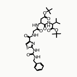 CC(C)C(NC(=O)C(CC(=O)OC(C)(C)C)NC(=O)CNC(=O)c1csc(NC(=O)NCc2ccccc2)n1)C(=O)OC(C)(C)C